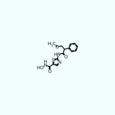 COCC(C(=O)Nc1ncc(C(=O)NO)s1)c1ccccc1